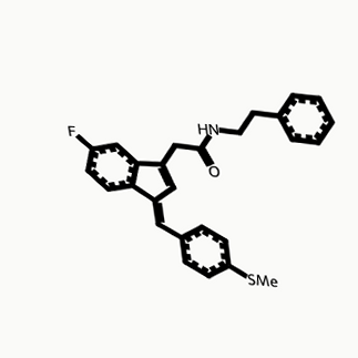 CSc1ccc(/C=C2\C=C(CC(=O)NCCc3ccccc3)c3cc(F)ccc32)cc1